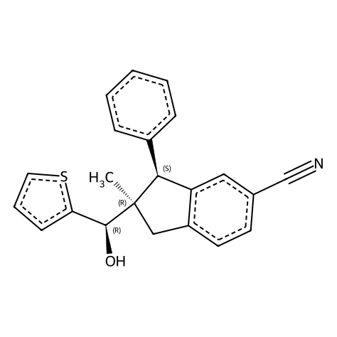 C[C@@]1([C@@H](O)c2cccs2)Cc2ccc(C#N)cc2[C@@H]1c1ccccc1